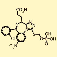 O=C(O)CC[C@@H]1N=C(c2ccccc2Cl)c2cc([N+](=O)[O-])ccc2-n2c(SCOP(=O)(O)O)nnc21